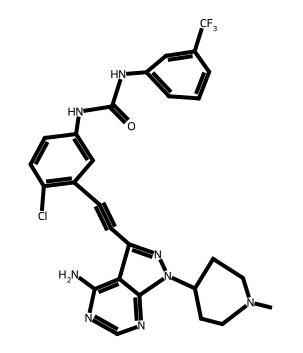 CN1CCC(n2nc(C#Cc3cc(NC(=O)Nc4cccc(C(F)(F)F)c4)ccc3Cl)c3c(N)ncnc32)CC1